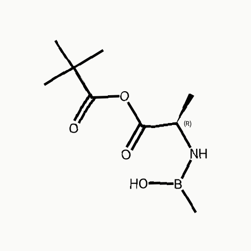 CB(O)N[C@H](C)C(=O)OC(=O)C(C)(C)C